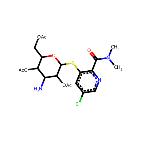 CC(=O)OCC1OC(Sc2cc(Cl)cnc2C(=O)N(C)C)C(OC(C)=O)C(N)C1OC(C)=O